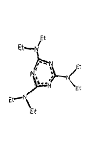 CCN(CC)c1nc(N(CC)CC)nc(N(CC)CC)n1